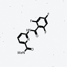 CNC(=O)c1cccc(NC(=O)c2c(F)cc(F)cc2F)n1